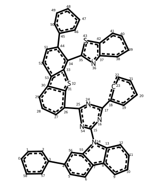 c1ccc(-c2ccc3c4ccccc4n(-c4nc(-c5ccccc5)nc(-c5cccc6c5sc5c(-c7nc8ccccc8s7)c(-c7ccccc7)ccc56)n4)c3c2)cc1